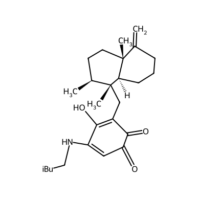 C=C1CCC[C@H]2[C@](C)(CC3=C(O)C(NCC(C)CC)=CC(=O)C3=O)[C@@H](C)CC[C@]12C